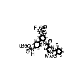 COc1cccc(F)c1-c1nccc(C(=O)Nc2ccc(OS(=O)(=O)C(F)(F)F)cc2C2CCC(NC(=O)OC(C)(C)C)CC2)n1